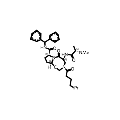 CN[C@@H](C)C(=O)N[C@H]1CN(C(=O)CCCC(C)C)CC[C@H]2CC[C@@H](C(=O)NC(c3ccccc3)c3ccccc3)N2C1=O